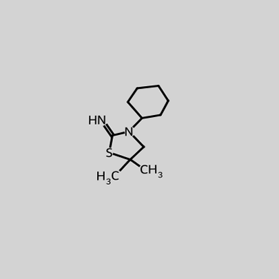 CC1(C)CN(C2CCCCC2)C(=N)S1